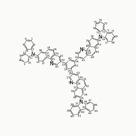 c1ccc2c(c1)c1ccccc1n2-c1ccc2c(ccc3cc(-c4cc(-c5cnc6c(ccc7cc(-n8c9ccccc9c9ccccc98)ccc76)c5)cc(-c5cnc6c(ccc7cc(-n8c9ccccc9c9ccccc98)ccc76)c5)c4)cnc32)c1